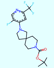 CC(C)(C)OC(=O)N1CCC2(CC1)CCN(c1cc(C(F)(F)F)ncc1F)C2